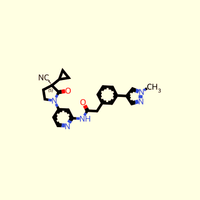 Cn1cc(-c2cccc(CC(=O)Nc3cc(N4CC[C@@](C#N)(C5CC5)C4=O)ccn3)c2)cn1